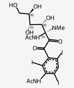 CN[C@@](NC(C)=O)(C(=O)C(=O)c1c(I)cc(I)c(NC(C)=O)c1I)[C@@H](O)[C@H](O)[C@H](O)CO